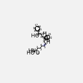 O=C(CCC/C=C\C[C@H]1[C@@H](CCC(O)c2ccccc2)[C@H]2CC[C@@H]1O2)NO